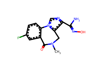 CN1Cc2c(C(N)=NO)ncn2-c2ccc(F)cc2C1=O